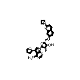 Nc1ncnc2c1c([C@H]1CCCO1)cn2[C@@H]1O[C@H](COc2ccc3ccc(N4CCC4)nc3c2)[C@@H](O)[C@@H]1F